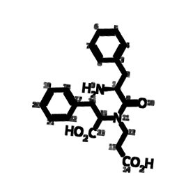 N[C@@H](Cc1ccccc1)C(=O)N(CCC(=O)O)C(Cc1ccccc1)C(=O)O